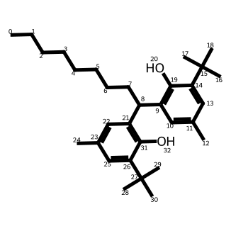 CCCCCCCCC(c1cc(C)cc(C(C)(C)C)c1O)c1cc(C)cc(C(C)(C)C)c1O